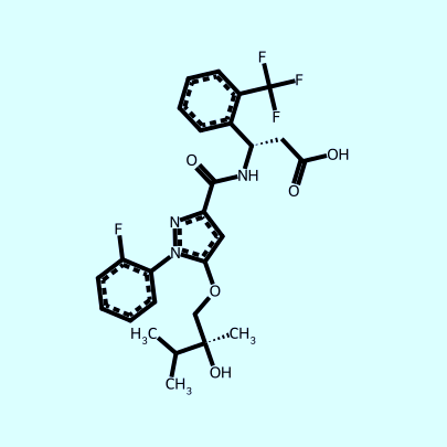 CC(C)[C@](C)(O)COc1cc(C(=O)N[C@@H](CC(=O)O)c2ccccc2C(F)(F)F)nn1-c1ccccc1F